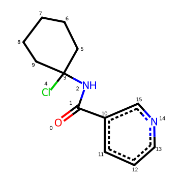 O=C(NC1(Cl)CCCCC1)c1cccnc1